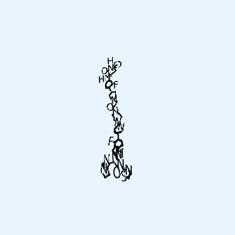 O=C1CC[C@H](Nc2ccc(C3CCN(CC(=O)N4CCN(c5ccc(-c6ccc7nn(C(C(=O)Nc8nccs8)c8ncn9c8CCC9)cc7c6F)cn5)CC4)CC3)c(F)c2)C(=O)N1